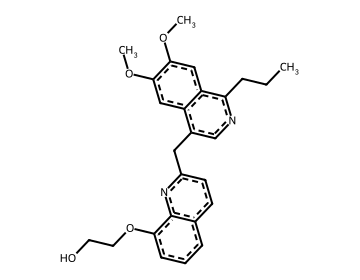 CCCc1ncc(Cc2ccc3cccc(OCCO)c3n2)c2cc(OC)c(OC)cc12